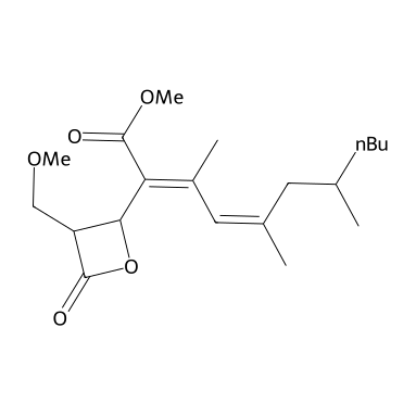 CCCCC(C)CC(C)=CC(C)=C(C(=O)OC)C1OC(=O)C1COC